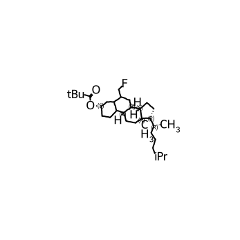 CC(C)CCC[C@@H](C)[C@H]1CC[C@H]2[C@@H]3CC(CF)C4C[C@@H](OC(=O)C(C)(C)C)CCC4[C@H]3CC[C@]12C